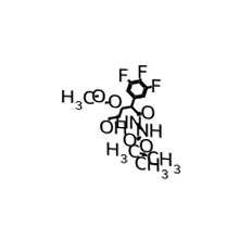 COCOC(CCO)C(C(=O)NNC(=O)OC(C)(C)C)c1cc(F)c(F)c(F)c1